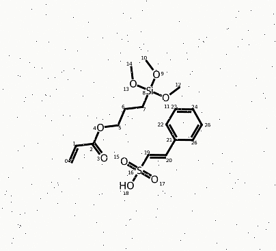 C=CC(=O)OCCC[Si](OC)(OC)OC.O=S(=O)(O)C=Cc1ccccc1